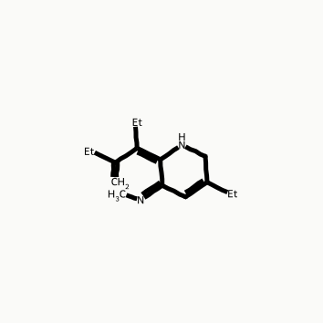 C=C(CC)/C(CC)=C1/NCC(CC)=C/C1=N/C